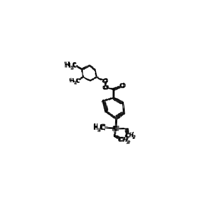 C=C[Si](C)(C=C)c1ccc(C(=O)OO[C]2CCC(C)C(C)C2)cc1